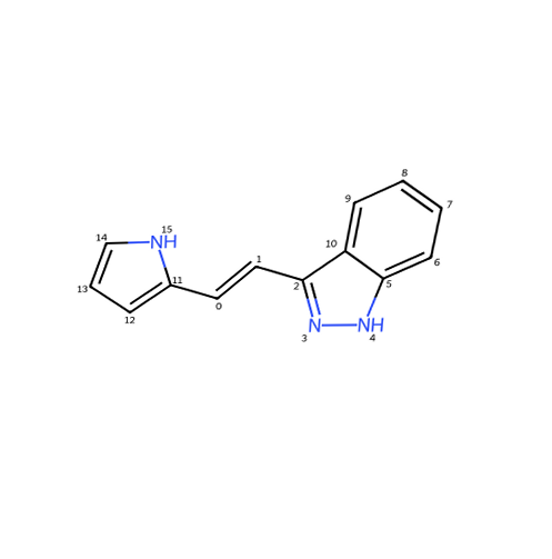 C(=Cc1n[nH]c2ccccc12)c1ccc[nH]1